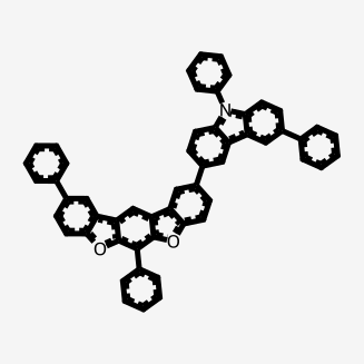 c1ccc(-c2ccc3oc4c(-c5ccccc5)c5oc6ccc(-c7ccc8c(c7)c7cc(-c9ccccc9)ccc7n8-c7ccccc7)cc6c5cc4c3c2)cc1